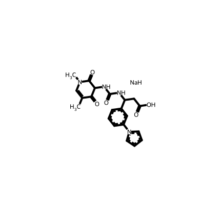 CC1=CN(C)C(=O)C(NC(=O)NC(CC(=O)O)c2cccc(-n3cccc3)c2)C1=O.[NaH]